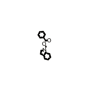 O=C(OCn1ccc2ccccc21)c1ccccc1